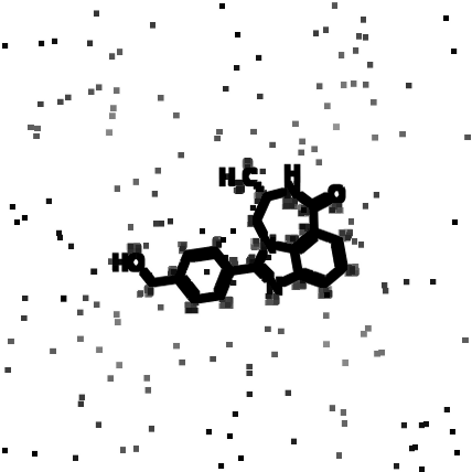 C[C@H]1Cn2c(-c3ccc(CO)cc3)nc3cccc(c32)C(=O)N1